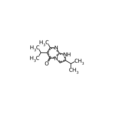 Cc1nc2[nH]c(C(C)C)cn2c(=O)c1C(C)C